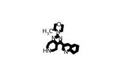 C[C@H]1COCCN1c1nc2c(c(-c3cnc4ccccc4c3)n1)CCNCC2